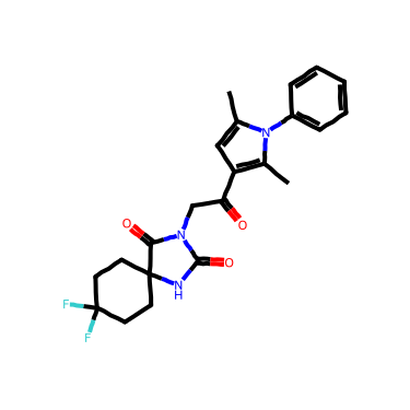 Cc1cc(C(=O)CN2C(=O)NC3(CCC(F)(F)CC3)C2=O)c(C)n1-c1ccccc1